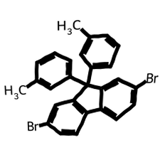 Cc1cccc(C2(c3cccc(C)c3)c3cc(Br)ccc3-c3ccc(Br)cc32)c1